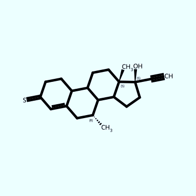 C#C[C@]1(O)CCC2C3C(CC[C@@]21C)C1CCC(=S)C=C1C[C@H]3C